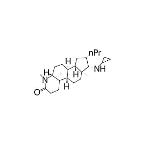 CCC[C@H]1C[C@H]2[C@@H]3CC[C@H]4N(C)C(=O)CC[C@]4(C)[C@H]3CC[C@]2(C)[C@H]1NC1CC1